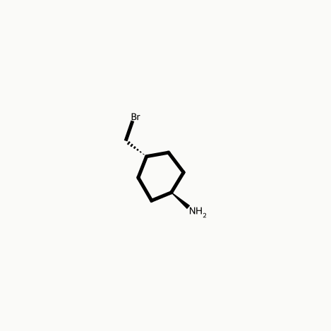 N[C@H]1CC[C@H](CBr)CC1